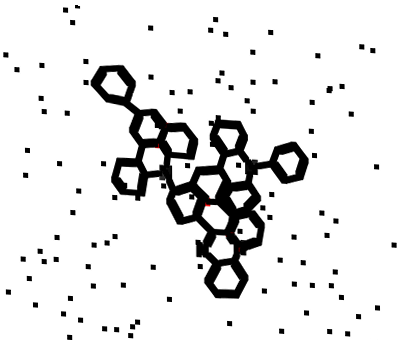 c1ccc(-c2cccc(-c3ccccc3N(c3ccccc3)c3ccc(-c4nc5ccccc5nc4-c4ccc(N(c5ccccc5)c5ccccc5-c5cccc(-c6ccccc6)c5)cc4)cc3)c2)cc1